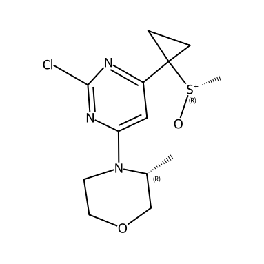 C[C@@H]1COCCN1c1cc(C2([S@+](C)[O-])CC2)nc(Cl)n1